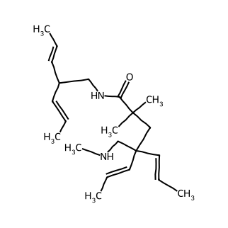 CC=CC(C=CC)CNC(=O)C(C)(C)CC(C=CC)(C=CC)CNC